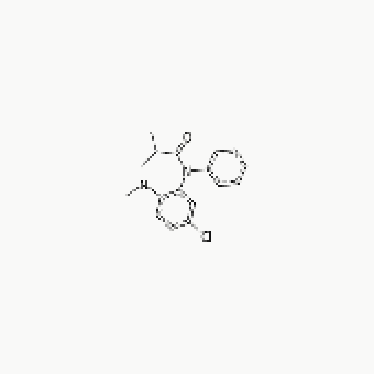 CC1CN(C)c2ccc(Cl)cc2N(c2ccccc2)C1=O